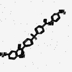 CC(C)(c1ccc(C(=O)Nc2ccc(N)cc2)cc1)c1ccc(C(=O)Nc2cc(N)ccc2O)cc1